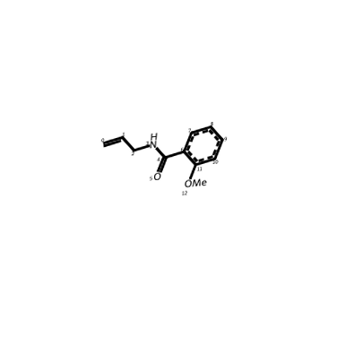 C=CCNC(=O)c1ccccc1OC